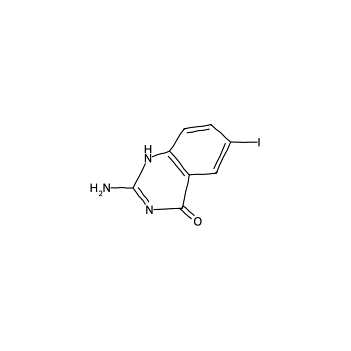 Nc1nc(=O)c2cc(I)ccc2[nH]1